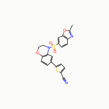 Cc1nc2ccc(S(=O)(=O)N3CCOc4ccc(-c5ccc(C#N)s5)cc43)cc2o1